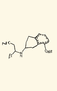 CCC(CC#N)NC1CCc2cccc(OC)c2C1